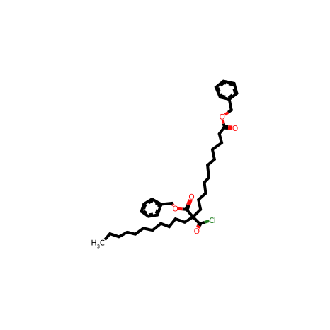 CCCCCCCCCCCC(CCCCCCCCCCC(=O)OCc1ccccc1)(C(=O)Cl)C(=O)OCc1ccccc1